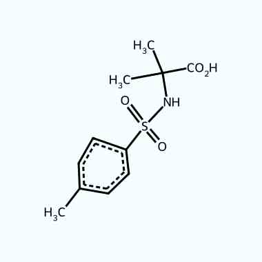 Cc1ccc(S(=O)(=O)NC(C)(C)C(=O)O)cc1